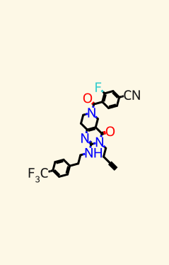 C#CCCn1c(NCCc2ccc(C(F)(F)F)cc2)nc2c(c1=O)CN(C(=O)c1ccc(C#N)cc1F)CC2